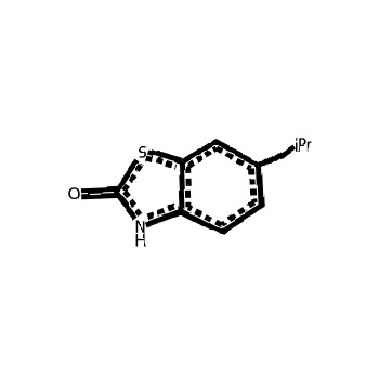 CC(C)c1ccc2[nH]c(=O)sc2c1